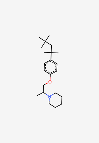 CC(COc1ccc(C(C)(C)CC(C)(C)C)cc1)N1CCCCC1